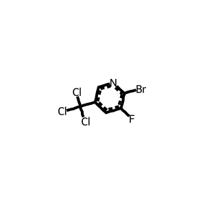 Fc1cc(C(Cl)(Cl)Cl)cnc1Br